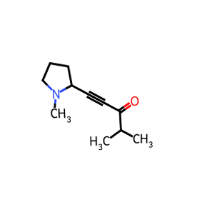 CC(C)C(=O)C#CC1CCCN1C